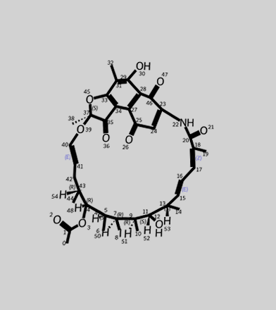 CC(=O)O[C@H]1[C@H](C)[C@H](I)[C@H](C)[C@@H](O)[C@@H](C)/C=C/C=C(/C)C(=O)NC2=CC(=O)c3c(c(O)c(C)c4c3C(=O)[C@@](C)(O/C=C/C[C@H]1C)O4)C2=O